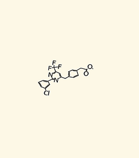 COC(=O)Cc1ccc(Cc2cc(C(F)(F)F)nc(-c3cccc(Cl)c3)n2)cc1